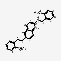 COc1ccccc1CCc1ccc2nc(NCc3ccccc3OC)ccc2c1